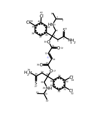 CC(C)NCC(CC(N)=S)(OC(=O)/C=C/C(=O)OC(CNC(C)C)(CC(N)=S)c1ccc(Cl)c(Cl)c1)c1ccc(Cl)c(Cl)c1